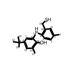 Cc1ccc(Pc2cc(C(C)(C)C)cc(C)c2O)c(CS)c1